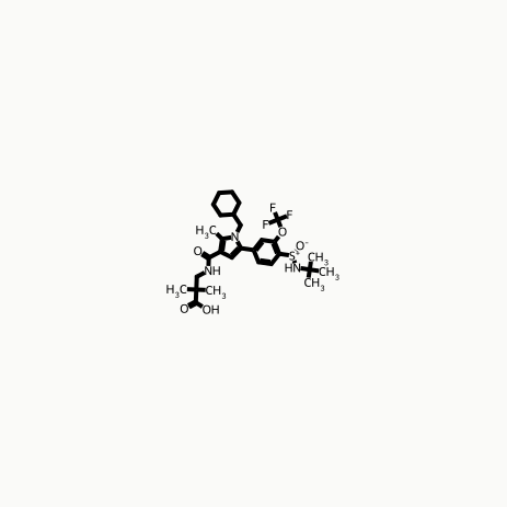 Cc1c(C(=O)NCC(C)(C)C(=O)O)cc(-c2ccc([S+]([O-])NC(C)(C)C)c(OC(F)(F)F)c2)n1CC1CCCCC1